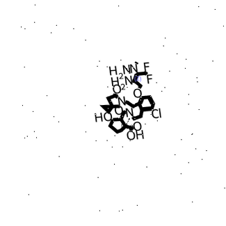 CN(N)/C(=C(\N)COc1ccc(Cl)c2c1C(CN1CC3(CC3)CC1=O)N(C(=O)C1C(O)CCC[C@]1(C)C(=O)O)CC2)C(F)F